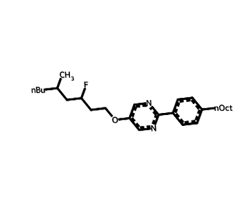 CCCCCCCCc1ccc(-c2ncc(OCCC(F)CC(C)CCCC)cn2)cc1